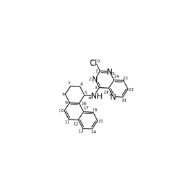 Clc1nc(NC2CCCc3ccc4ccccc4c32)c2ncccc2n1